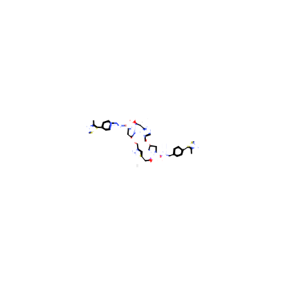 Cc1cnc([C@H](C(=O)N2C[C@H](OCc3cc([C@H](C(=O)N4C[C@H](O)C[C@H]4C(=O)NCc4ccc(-c5scnc5C)cc4)C(C)C)sn3)C[C@H]2C(=O)NCc2ccc(-c3scnc3C)cc2)C(C)C)[nH]1